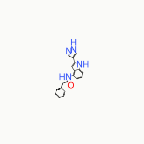 O=C(Cc1ccccc1)Nc1cccc2[nH]c(-c3cn[nH]c3)cc12